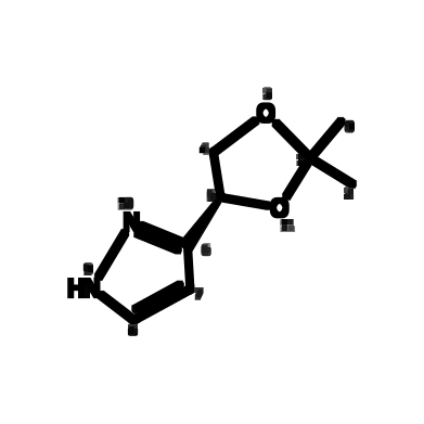 CC1(C)OC[C@H](c2cc[nH]n2)O1